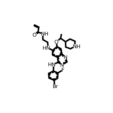 C=CC(=O)NCCNc1cc2c(Nc3ccc(Br)cc3F)ncnc2cc1OC(C)C1CCNCC1